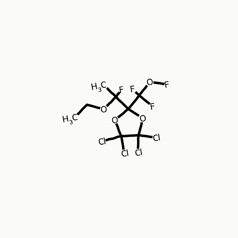 CCOC(C)(F)C1(C(F)(F)OF)OC(Cl)(Cl)C(Cl)(Cl)O1